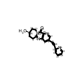 C[C@@H]1CCc2nc3cc(C#Cc4ccccn4)cnc3c(=O)n2CC1